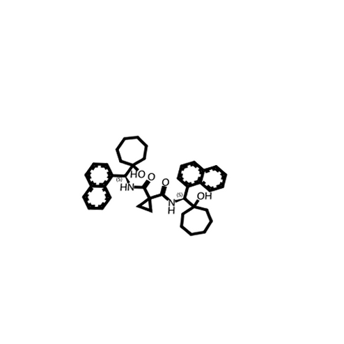 O=C(N[C@@H](c1cccc2ccccc12)C1(O)CCCCCC1)C1(C(=O)N[C@@H](c2cccc3ccccc23)C2(O)CCCCCC2)CC1